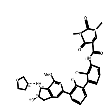 COc1nc(-c2cccc(-c3cccc(NC(=O)c4cn(C)c(=O)n(C)c4=O)c3Cl)c2Cl)cc2c1[C@@H](N[C@@H]1CCOC1)[C@@H](O)C2